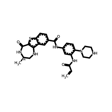 C=CC(=O)Nc1cc(NC(=O)c2ccc3sc4c(c3c2)NC[C@@H](C)NC4=O)ccc1N1CCNCC1